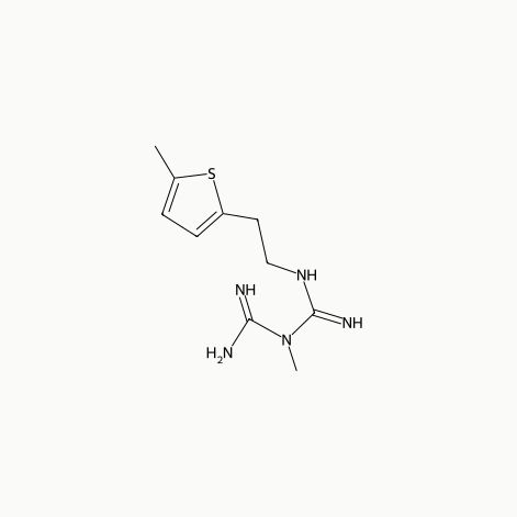 Cc1ccc(CCNC(=N)N(C)C(=N)N)s1